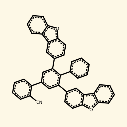 N#Cc1ccccc1-c1cc(-c2ccc3oc4ccccc4c3c2)c(-c2ccccc2)c(-c2ccc3oc4ccccc4c3c2)c1